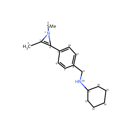 CSN1C(C)=C1c1ccc(CNC2CCCCC2)cc1